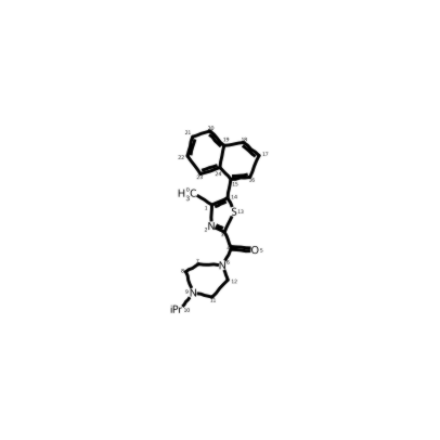 Cc1nc(C(=O)N2CCN(C(C)C)CC2)sc1-c1cccc2ccccc12